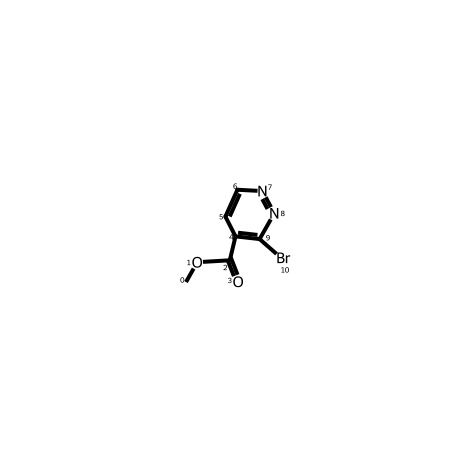 COC(=O)c1ccnnc1Br